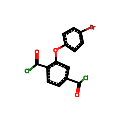 O=C(Cl)c1ccc(C(=O)Cl)c(Oc2ccc(Br)cc2)c1